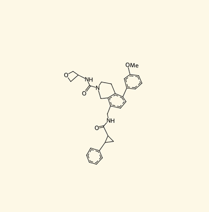 COc1cccc(-c2ccc(CNC(=O)C3CC3c3ccccc3)c3c2CCN(C(=O)NC2COC2)C3)c1